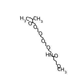 CCC(C)C(=O)COCCOCCOCCOCCNC(=O)CCCOC